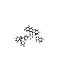 C1=CC2=C(c3ccc4ccccc4c3)c3ccccc3C(c3ccc4ccccc4c3)C2C=C1c1ccc(-c2nc3ccccc3n2-c2ccccc2)cc1